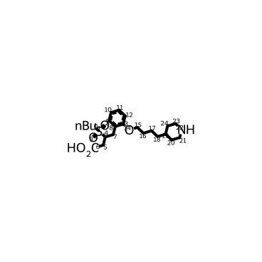 CCCCS(=O)(=O)C(CC(=O)O)Cc1ccccc1OCCCCC1CCNCC1